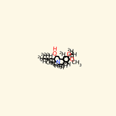 [2H]c1c(OC([2H])([2H])[2H])c(OC)c([2H])c2c1C1CC(O)C(C([2H])([2H])C([2H])(C)C([2H])([2H])[2H])C([2H])([2H])N1C([2H])([2H])C2([2H])[2H]